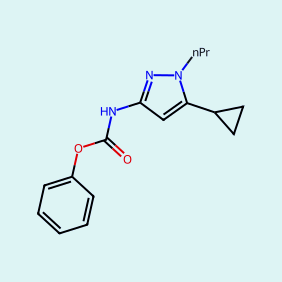 CCCn1nc(NC(=O)Oc2ccccc2)cc1C1CC1